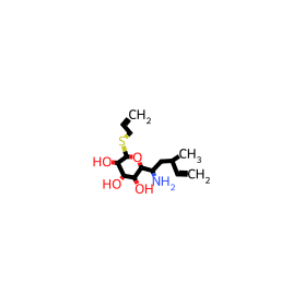 C=CCSC1OC(C(N)CC(C)C=C)C(O)C(O)C1O